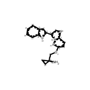 NC1(COc2ccc3ncc(-c4cc5ccccc5o4)n3n2)CC1